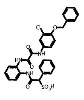 O=C(Nc1ccc(OCc2ccccc2)c(Cl)c1)C(=O)Nc1ccccc1NC(=O)C(c1ccccc1)S(=O)(=O)O